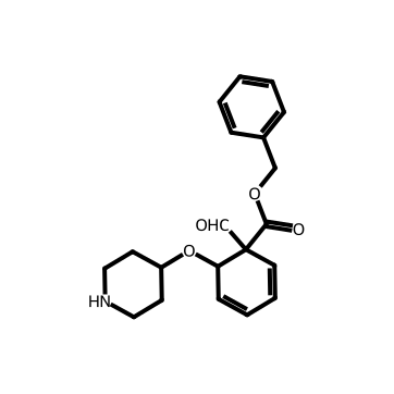 O=CC1(C(=O)OCc2ccccc2)C=CC=CC1OC1CCNCC1